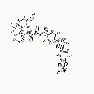 COc1ccc(C(C)C)c(N2CCCS/C2=N\C(=O)N/C=C(\F)c2ccc(-c3ncn(-c4ccc(OC(F)(F)F)cc4)n3)cc2)c1